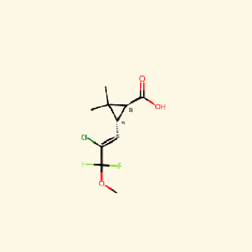 COC(F)(F)C(Cl)=C[C@H]1[C@H](C(=O)O)C1(C)C